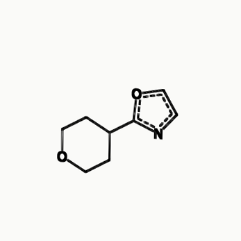 c1coc(C2CCOCC2)n1